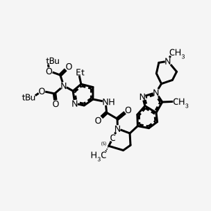 CCc1cc(NC(=O)C(=O)N2C[C@@H](C)CCC2c2ccc3c(C)n(C4CCN(C)CC4)nc3c2)cnc1N(C(=O)OC(C)(C)C)C(=O)OC(C)(C)C